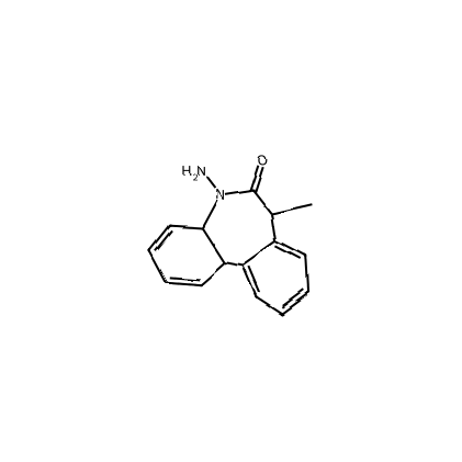 CC1C(=O)N(N)C2C=CC=CC2c2ccccc21